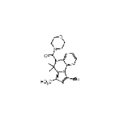 CC(C)(C)c1nc(C(=O)O)c2n1-c1ccccc1N(C(=O)N1CCOCC1)C2(C)C